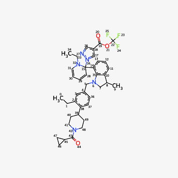 CCc1cc(CN2CC(C)c3cccc(C4(n5cc(C(=O)OC(F)(F)F)cn5)C=CC=CN4CC)c32)ccc1C1CCN(C(=O)C2CC2)CC1